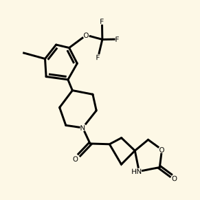 Cc1cc(OC(F)(F)F)cc(C2CCN(C(=O)C3CC4(COC(=O)N4)C3)CC2)c1